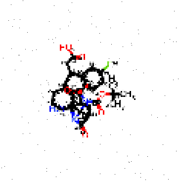 CC(C)(C)OC(=O)N(c1ccc(CC(=O)O)cc1)C1(c2ccccc2)c2cc(C(=O)c3ccc(F)cc3)c(N)n1c2=O